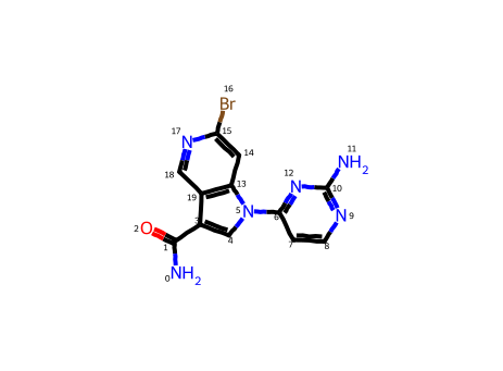 NC(=O)c1cn(-c2ccnc(N)n2)c2cc(Br)ncc12